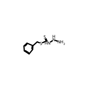 NNNC(=S)SCc1ccccc1